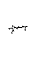 CNCCCCC[SiH](OC)OC